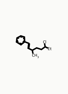 CCC(Cl)CCC(C)C=Cc1ccccc1